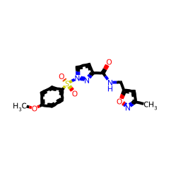 COc1ccc(S(=O)(=O)n2ccc(C(=O)NCc3cc(C)no3)n2)cc1